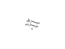 O=S(=O)(O)O.O=S(=O)(O)O.[Ti].[Ti]